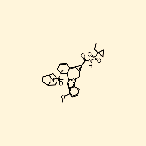 CCC1(S(=O)(=O)NC(=O)C2=C3Cn4c(cc5c(OC)cccc54)C4C(=C32)C=CC[C@H]4C(=O)N2C3CCC2CN(C)C3)CC1